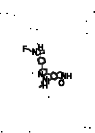 C=CCNc1ncc(-c2ccc([C@@]34CC[C@@H]3CN(CCF)C4)cc2)cc1-c1cc2c(cc1I)C(=O)NCC2